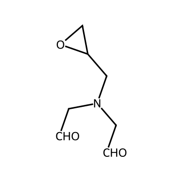 O=CCN(CC=O)CC1CO1